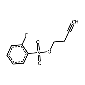 C#CCCOS(=O)(=O)c1ccccc1F